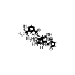 CC(C)(C)c1cccc(C(=O)N[C@H]2CN3C(=N)N[C@@H](CN4C(=O)CCC4=O)[C@@H]4NC(=N)N[C@@]43C2(O)O)c1